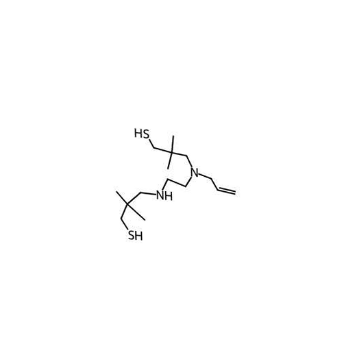 C=CCN(CCNCC(C)(C)CS)CC(C)(C)CS